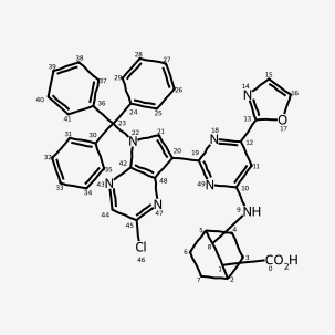 O=C(O)C1C2CCC(CC2)C1Nc1cc(-c2ncco2)nc(-c2cn(C(c3ccccc3)(c3ccccc3)c3ccccc3)c3ncc(Cl)nc23)n1